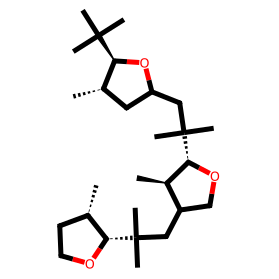 C[C@@H]1C(CC(C)(C)[C@@H]2OCC[C@@H]2C)CO[C@H]1C(C)(C)CC1C[C@H](C)[C@@H](C(C)(C)C)O1